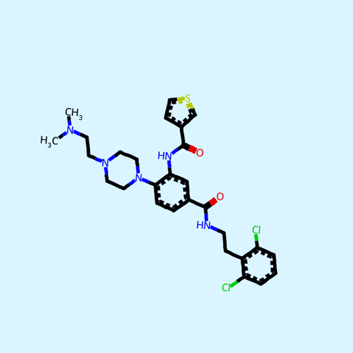 CN(C)CCN1CCN(c2ccc(C(=O)NCCc3c(Cl)cccc3Cl)cc2NC(=O)c2ccsc2)CC1